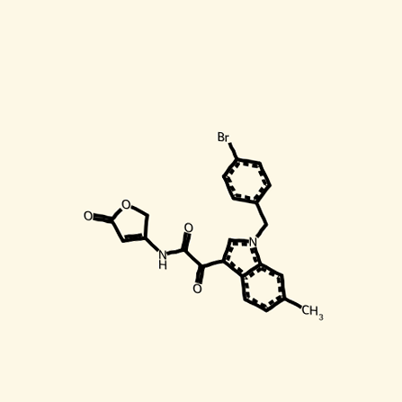 Cc1ccc2c(C(=O)C(=O)NC3=CC(=O)OC3)cn(Cc3ccc(Br)cc3)c2c1